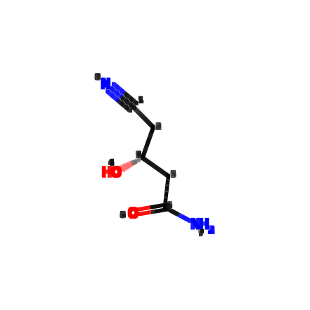 N#CC[C@@H](O)CC(N)=O